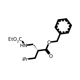 CCOC(=O)NC[C@@H](CC(C)C)C(=O)OCc1ccccc1